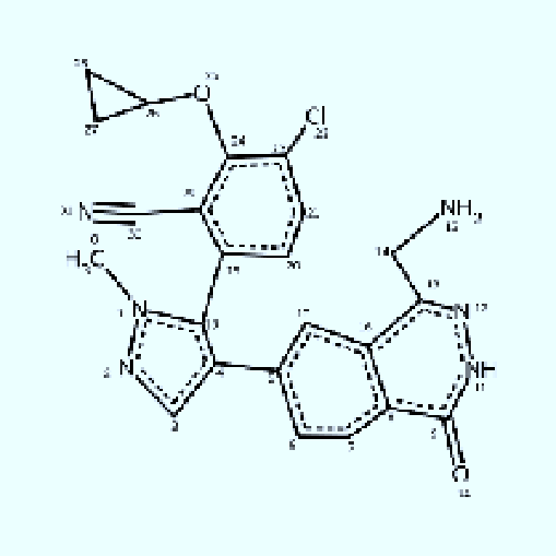 Cn1ncc(-c2ccc3c(=O)[nH]nc(CN)c3c2)c1-c1ccc(Cl)c(OC2CC2)c1C#N